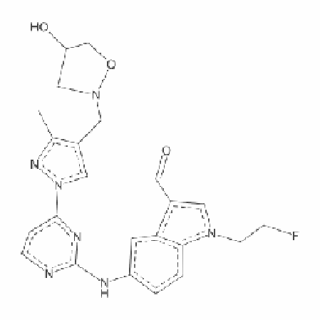 Cc1nn(-c2ccnc(Nc3ccc4c(c3)c(C=O)cn4CCF)n2)cc1CN1CC(O)CO1